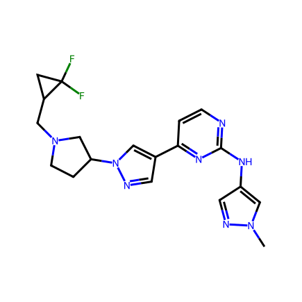 Cn1cc(Nc2nccc(-c3cnn(C4CCN(CC5CC5(F)F)C4)c3)n2)cn1